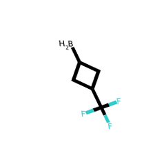 BC1CC(C(F)(F)F)C1